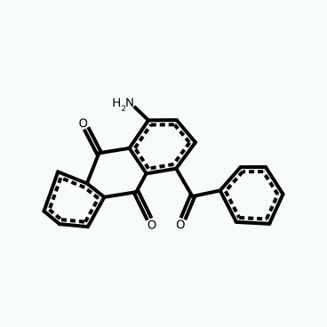 Nc1ccc(C(=O)c2ccccc2)c2c1C(=O)c1ccccc1C2=O